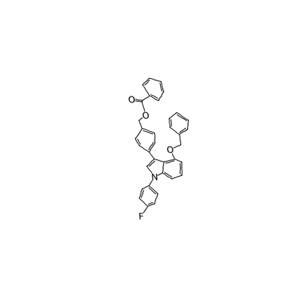 O=C(OCc1ccc(-c2cn(-c3ccc(F)cc3)c3cccc(OCc4ccccc4)c23)cc1)c1ccccc1